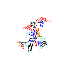 Cc1cc(CC(=O)N[C@@H](CC(=O)O)C(=O)O)c(C(C)(C)CC(=O)N(c2nn(CC(F)(F)F)c3c(-c4ccc(CCC(C)(C)S(C)(=O)=O)nc4[C@H](Cc4cc(F)cc(F)c4)NC(=O)Cn4nc(C(F)(F)F)c5c4C(F)(F)C4C[C@H]54)ccc(Cl)c23)S(C)(=O)=O)c(OP(=O)(O)O)c1